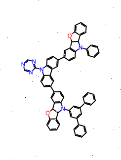 c1ccc(-c2cc(-c3ccccc3)cc(N3c4ccc(-c5ccc6c(c5)c5cc(-c7ccc8c(c7)C7Oc9ccccc9C7N8c7ccccc7)ccc5n6-c5ncncn5)cc4C4Oc5ccccc5C43)c2)cc1